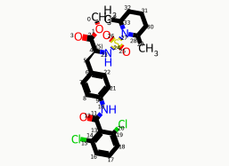 COC(=O)[C@H](Cc1ccc(NC(=O)c2c(Cl)cccc2Cl)cc1)NS(=O)(=O)N1C(C)CCCC1C